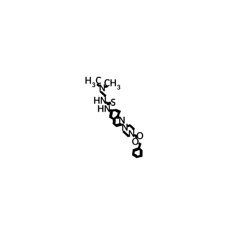 CCN(CC)CCNC(=S)Nc1ccc2nc(N3CCN(C(=O)OCc4ccccc4)CC3)ccc2c1